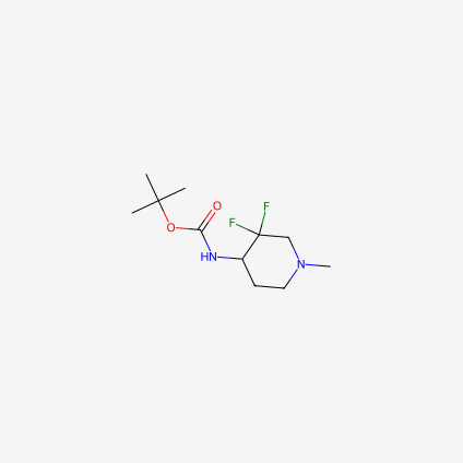 CN1CCC(NC(=O)OC(C)(C)C)C(F)(F)C1